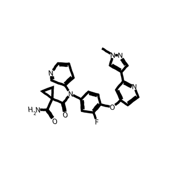 Cn1cc(-c2cc(Oc3ccc(N(C(=O)C4(C(N)=O)CC4)c4cccnc4)cc3F)ccn2)cn1